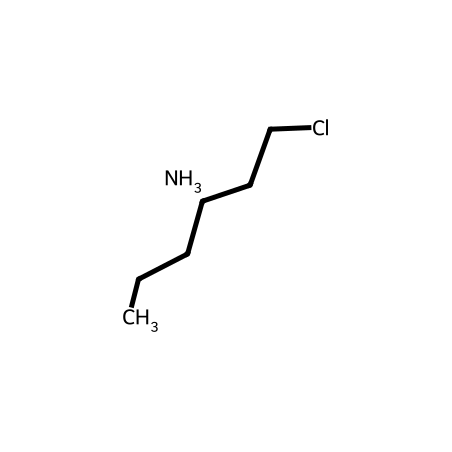 CCCCCCCl.N